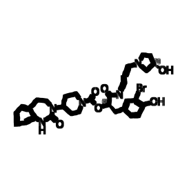 O=C(N=C=C=CN1CC[C@H](O)C1)[C@@H](Cc1ccc(O)c(Br)c1)OC(=O)N1CCC(N2CCc3ccccc3NC2=O)CC1